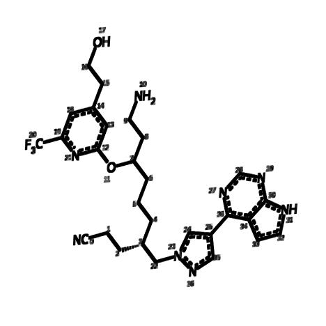 N#CCC[C@H](CCCC(CCN)Oc1cc(CCO)cc(C(F)(F)F)n1)Cn1cc(-c2ncnc3[nH]ccc23)cn1